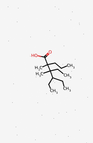 CCCC(C)(C(=O)O)C(C)(CC)C(CC)CC